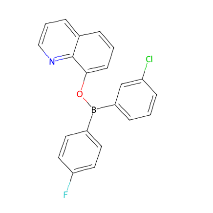 Fc1ccc(B(Oc2cccc3cccnc23)c2cccc(Cl)c2)cc1